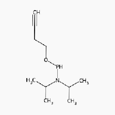 C#CCCOPN(C(C)C)C(C)C